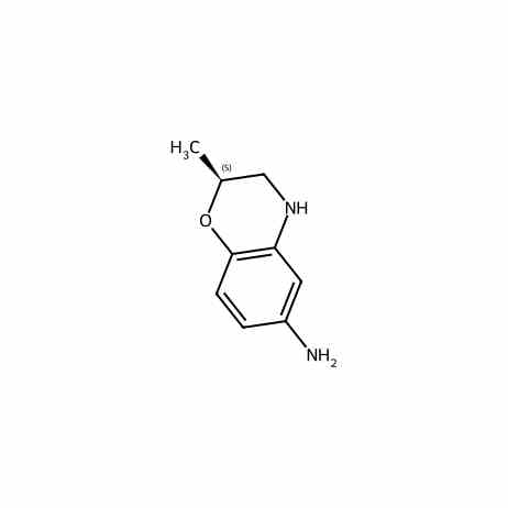 C[C@H]1CNc2cc(N)ccc2O1